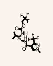 CC(C)[C@@H](CNC(=O)c1cn(C)nc1C(F)(F)F)NC(=O)OCC(F)(F)F